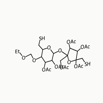 CCOCOC1C(CS)OC(OC2(COC(C)=O)OC(CS)(OC(C)=O)C(OC(C)=O)C2OC(C)=O)C(OC(C)=O)C1OC(C)=O